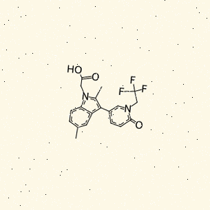 Cc1ccc2c(c1)c(-c1ccc(=O)n(CC(F)(F)F)c1)c(C)n2CC(=O)O